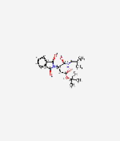 CC(C)CNC(=O)[C@@H](CC(=O)OC(C)(C)C)N1C(=O)c2ccccc2C1=O